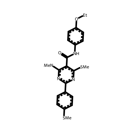 CCOc1ccc(NC(=O)c2c(NC)nc(-c3ccc(SC)cc3)nc2SC)cc1